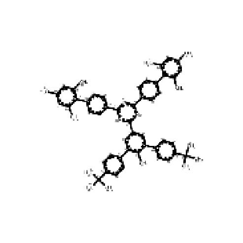 Cc1cc(C)c(-c2ccc(-c3nc(-c4ccc(-c5c(C)cc(C)cc5C)cc4)nc(-c4cc(-c5ccc(C(C)(C)C)cc5)c(C)c(-c5ccc(C(C)(C)C)cc5)c4)n3)cc2)c(C)c1